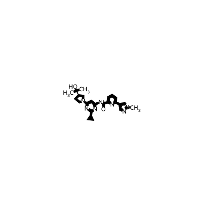 Cn1cc(-c2cccc(C(=O)Nc3cc(N4CC[C@@H](C(C)(C)O)C4)nc(C4CC4)n3)n2)cn1